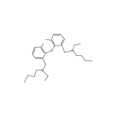 CCCCN(CC)Cc1cccc(C)c1Oc1c(C)cccc1CN(CC)CCCC